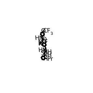 CC(C)c1ccccc1NC(=S)NNCc1cc(F)c2c(C(=O)Nc3ccc(OC(F)(F)F)cc3)nn(C)c2c1